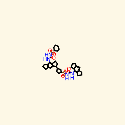 O=C(Nc1c2c(cc3c1CCC3)CCC2)NS(=O)(=O)C1CCC(C2CCc3c2cc2c(c3NC(=O)NS(=O)(=O)C3CCCCC3)CCC2)C1